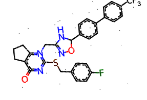 O=c1nc(SCc2ccc(F)cc2)n(CC2=NOC(c3ccc(-c4ccc(C(F)(F)F)cc4)cc3)N2)c2c1CCC2